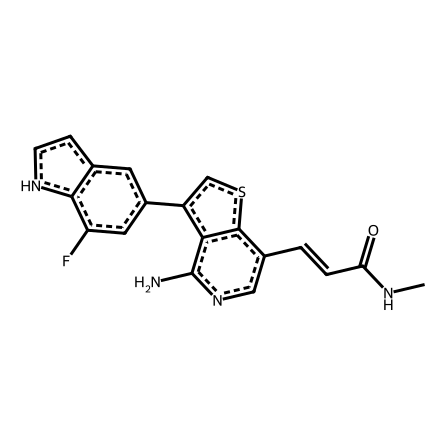 CNC(=O)/C=C/c1cnc(N)c2c(-c3cc(F)c4[nH]ccc4c3)csc12